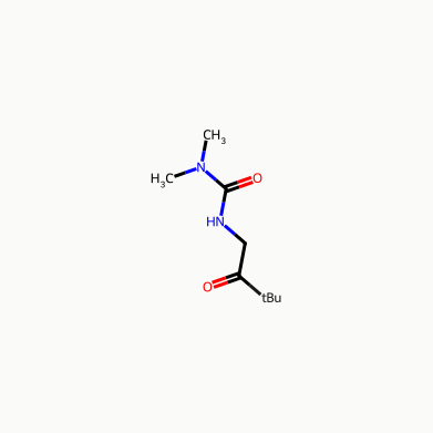 CN(C)C(=O)NCC(=O)C(C)(C)C